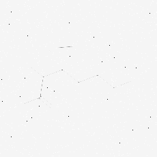 CC.CCCCCC(C)C(=O)O